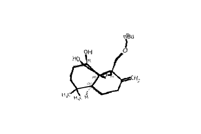 C=C1CC[C@H]2C(C)(C)CC[C@@H](O)[C@@]23C(O)O[C@H](OCCCC)C13